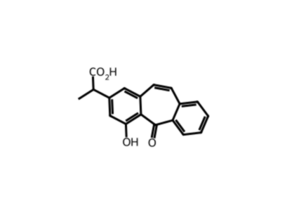 CC(C(=O)O)c1cc(O)c2c(=O)c3ccccc3ccc2c1